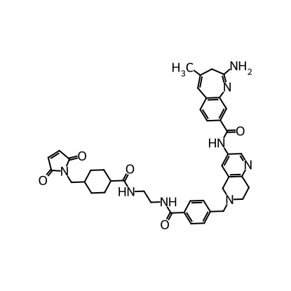 CC1=Cc2ccc(C(=O)Nc3cnc4c(c3)CN(Cc3ccc(C(=O)NCCNC(=O)C5CCC(CN6C(=O)C=CC6=O)CC5)cc3)CC4)cc2N=C(N)C1